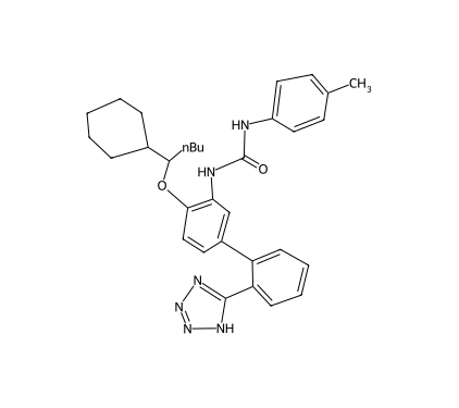 CCCCC(Oc1ccc(-c2ccccc2-c2nnn[nH]2)cc1NC(=O)Nc1ccc(C)cc1)C1CCCCC1